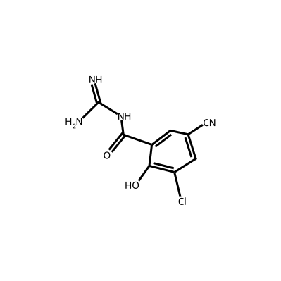 N#Cc1cc(Cl)c(O)c(C(=O)NC(=N)N)c1